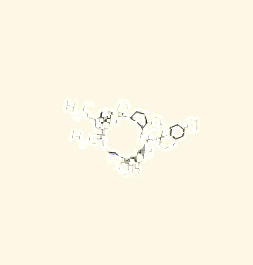 CCCC[C@H]1[C@H](C)C/C=C/[C@H](O)[C@@H]2CC[C@H]2CN2C[C@@]3(CCCc4cc(Cl)ccc43)COc3ccc(cc32)C(=O)NS1(=O)=O